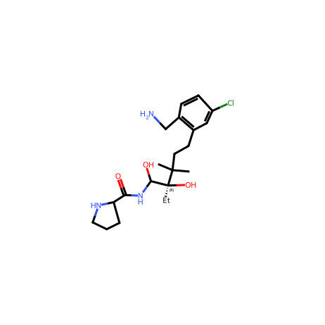 CC[C@](O)(C(O)NC(=O)C1CCCN1)C(C)(C)CCc1cc(Cl)ccc1CN